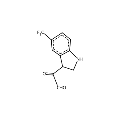 O=CC(=O)C1CNc2ccc(C(F)(F)F)cc21